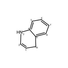 [C]1C=CNc2ccccc21